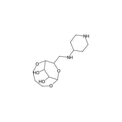 OC1C2OCCCOC(C(CNC3CCNCC3)O2)C1O